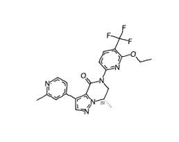 CCOc1nc(N2C[C@H](C)n3ncc(-c4ccnc(C)c4)c3C2=O)ccc1C(F)(F)F